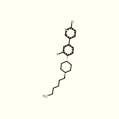 CCCCCC[C@H]1CC[C@H](c2ccc(-c3ccc(Cl)nc3)cc2F)CC1